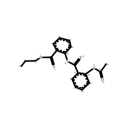 CCCOC(=S)c1ccccc1SC(=S)c1ccccc1SC(C)=O